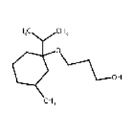 CC1CCCC(OCCCO)(C(C)C)C1